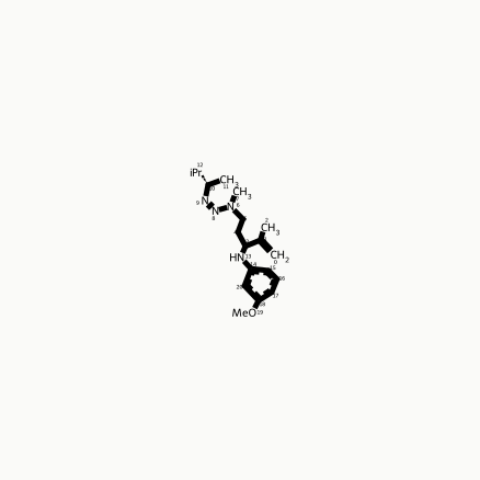 C=C(C)C(CCN(C)/N=N\[C@@H](C)C(C)C)Nc1cccc(OC)c1